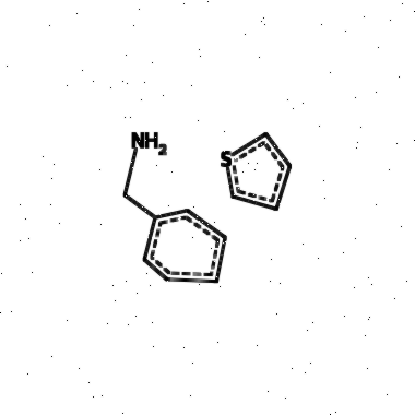 NCc1ccccc1.c1ccsc1